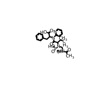 CC(=O)NCN(C(C(=O)N(c1ccccn1)C(Cc1ccccc1)C(=O)O)C(C)C)P(=O)(O)O